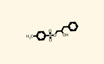 Cc1ccc(S(=O)(=O)OCC(O)Cc2ccccc2)cc1